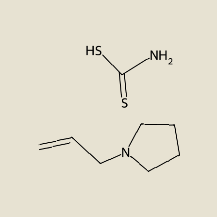 C=CCN1CCCC1.NC(=S)S